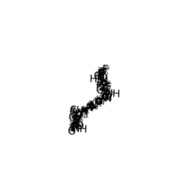 COc1cc(N2CC(N3CCN(c4ccc(-c5cnc6[nH]cc(C(=O)c7c(F)ccc(NS(=O)(=O)N8CC[C@@H](F)C8)c7F)c6c5)cc4)CC3)C2)cc2c1C(=O)N(C1CCC(=O)NC1=O)C2